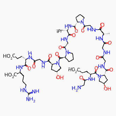 CC(C)[C@H](NC(=O)[C@@H]1CCCN1C(=O)CNC(=O)[C@H](C)NC(=O)CNC(=O)CNC(=O)[C@@H]1C[C@@H](O)CN1C(=O)[C@H](CCC(=O)O)NC(=O)CN)C(=O)NCC(=O)N1CCC[C@H]1C(=O)N1C[C@H](O)C[C@H]1C(=O)NCC(=O)N[C@@H](CCC(=O)O)C(=O)N[C@@H](CCCNC(=N)N)C(=O)O